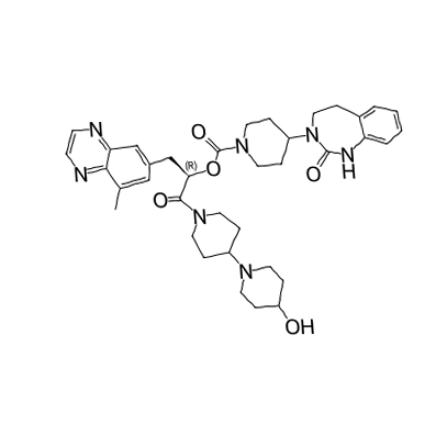 Cc1cc(C[C@@H](OC(=O)N2CCC(N3CCc4ccccc4NC3=O)CC2)C(=O)N2CCC(N3CCC(O)CC3)CC2)cc2nccnc12